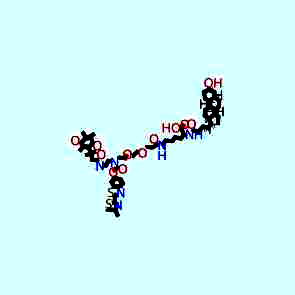 CC1=C(C)C(=O)C(C(C)(C)CC(=O)N(C)CCN(CCOCCOCCC(=O)NCCCCC(NC(=O)CC[C@@H](C)[C@H]2CC[C@H]3[C@@H]4CC[C@@H]5C[C@H](O)CC[C@]5(C)[C@H]4CC[C@]23C)C(=O)O)C(=O)Oc2ccc3nc(C4=NC(C)CS4)sc3c2)=C(C)C1=O